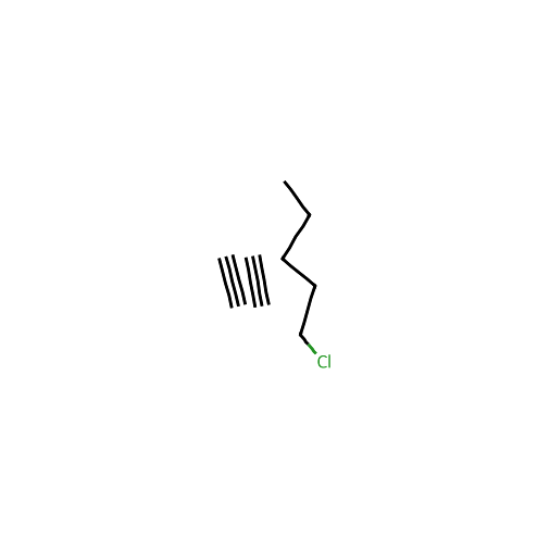 C#C.C#C.CCCCCCl